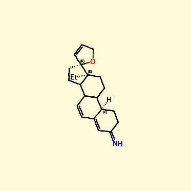 CC[C@]12CCC3C(C=CC4=CC(=N)CC[C@@H]43)C1CC[C@@]21C=CCO1